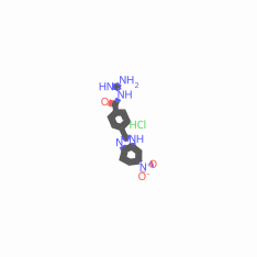 Cl.N=C(N)NC(=O)c1ccc(-c2nc3ccc([N+](=O)[O-])cc3[nH]2)cc1